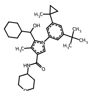 Cc1c(C(=O)NC2CCOCC2)cn(-c2cc(C(C)(C)C)cc(C3(C)CC3)c2)c1C(O)C1CCCCC1